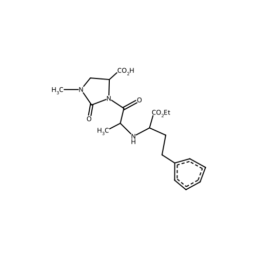 CCOC(=O)C(CCc1ccccc1)NC(C)C(=O)N1C(=O)N(C)CC1C(=O)O